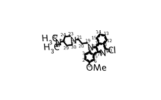 COc1ccc2c(c1)c1nc(Cl)c3ccccc3c1n2CCCN1CCC(N(C)C)CC1